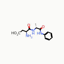 C[C@@H](NC(=O)[C@@H](N)CC(=O)O)C(=O)Nc1ccccc1